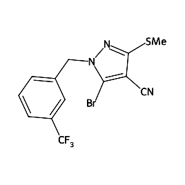 CSc1nn(Cc2cccc(C(F)(F)F)c2)c(Br)c1C#N